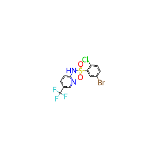 O=S(=O)(Nc1ccc(C(F)(F)F)cn1)c1cc(Br)ccc1Cl